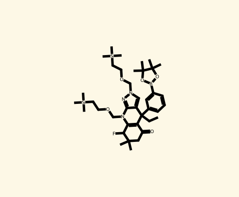 CCC1(c2cccc(B3OC(C)(C)C(C)(C)O3)c2)C2=C(C(F)C(C)(C)CC2=O)N(COCC[Si](C)(C)C)c2nn(COCC[Si](C)(C)C)cc21